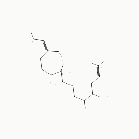 CC(=O)OC(CC=C(C)C)C(C)CCC[C@]1(C)OC/C(=C/CO)CC[C@H]1OC(C)=O